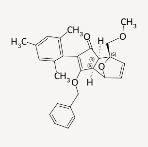 COC[C@@]12C=CC(O1)[C@H]1C(OCc3ccccc3)=C(c3c(C)cc(C)cc3C)C(=O)[C@H]12